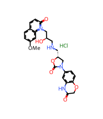 COc1ccc2ccc(=O)n(C[C@H](O)CNC[C@@H]3CN(c4ccc5c(c4)NC(=O)CO5)C(=O)O3)c2c1.Cl